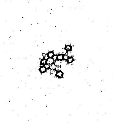 c1ccc(C2NC(c3ccccc3)NC(n3c4cc5c6ccccc6n(-c6ccccc6)c5cc4c4ccc5oc6ccccc6c5c43)N2)cc1